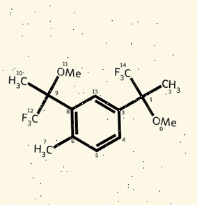 COC(C)(c1ccc(C)c(C(C)(OC)C(F)(F)F)c1)C(F)(F)F